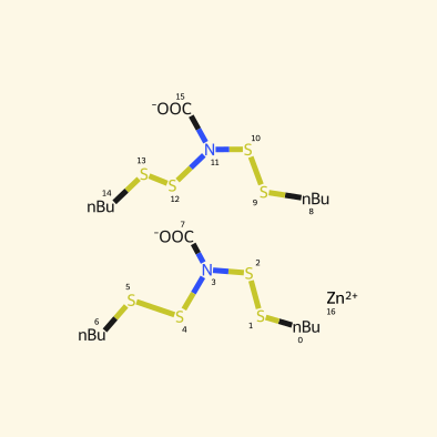 CCCCSSN(SSCCCC)C(=O)[O-].CCCCSSN(SSCCCC)C(=O)[O-].[Zn+2]